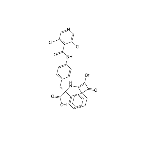 O=C(Nc1ccc(C[C@@](NC2=C(Br)C(=O)C23CCCCC3)(C(=O)O)c2ccccc2)cc1)c1c(Cl)cncc1Cl